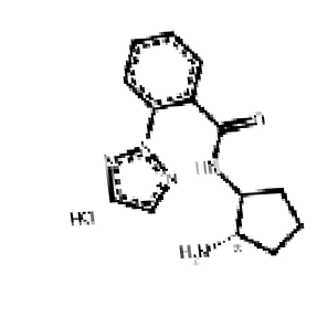 Cl.N[C@H]1CCCC1NC(=O)c1ccccc1-n1nccn1